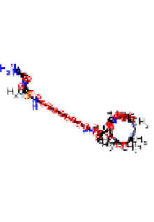 CO[C@H]1C[C@@H]2CC[C@@H](C)[C@@](O)(O2)C(=O)C(=O)N2CCCC[C@H]2C(=O)O[C@H]([C@H](C)C[C@@H]2CC[C@@H](OC(=O)NCCOCCOCCOCCOCCOCCOCCOCCOCCC(=O)NCCS(=O)(=O)c3ccc(C(=O)N4CCOc5ccc(-c6ccc(N)nc6)cc5C4)c(C)c3F)[C@H](OC)C2)CC(=O)[C@H](C)/C=C(\C)[C@@H](O)[C@@H](OC)C(=O)[C@H](C)C[C@H](C)/C=C/C=C/C=C/1C